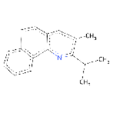 Cc1cc2ccc3ccccc3c2nc1C(C)C